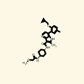 COCC(=O)N[C@H]1CC[C@H](NC(=O)c2c(C)[nH]c3c(-c4cc(F)ccc4OCC4CC4)ccnc23)CC1